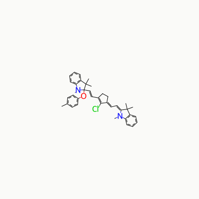 Cc1ccc(OC2(/C=C/C3=C(Cl)C(=C/C=C4\N(C)c5ccccc5C4(C)C)/CC3)N(C)c3ccccc3C2(C)C)cc1